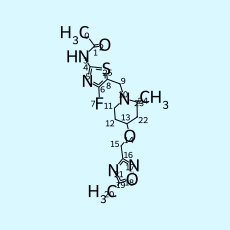 CC(=O)Nc1nc(F)c(CN2CCC(OCc3noc(C)n3)C[C@@H]2C)s1